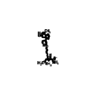 CC(C)c1cccc(-c2ccnc(OCCCCCN3NC([S+](N)[O-])C=C3CN(C)C)c2)c1CC(=O)O